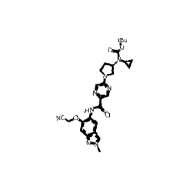 Cn1cc2cc(NC(=O)c3cnc(N4CC[C@@H](N(C(=O)OC(C)(C)C)C5CC5)C4)cn3)c(OCC#N)cc2n1